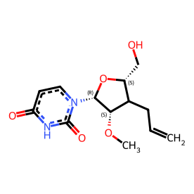 C=CCC1[C@@H](CO)O[C@@H](n2ccc(=O)[nH]c2=O)[C@H]1OC